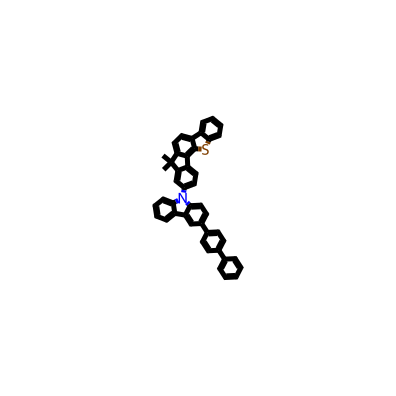 CC1(C)c2cc(-n3c4ccccc4c4cc(-c5ccc(-c6ccccc6)cc5)ccc43)ccc2-c2c1ccc1c2sc2ccccc21